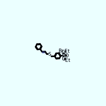 CCOP(=O)(OCC)c1ccc(CSC/C=C/c2ccccc2)cc1Br